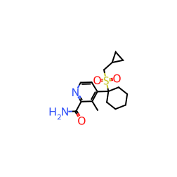 Cc1c(C2(S(=O)(=O)CC3CC3)CCCCC2)ccnc1C(N)=O